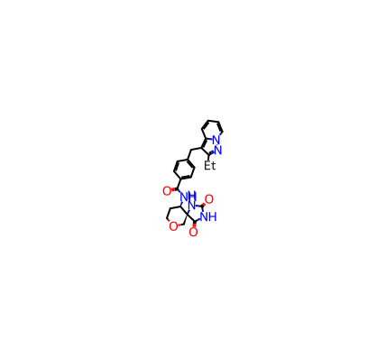 CCc1nn2ccccc2c1Cc1ccc(C(=O)N[C@@H]2CCOC[C@]23NC(=O)NC3=O)cc1